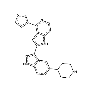 c1cc2[nH]c(-c3n[nH]c4ccc(C5CCNCC5)cc34)cc2c(-c2ccsc2)n1